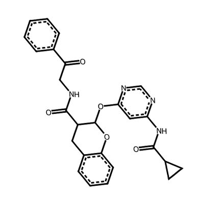 O=C(CNC(=O)C1Cc2ccccc2OC1Oc1cc(NC(=O)C2CC2)ncn1)c1ccccc1